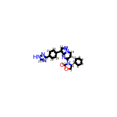 O=C1OC[C@H](c2ccccc2)N1c1ccn2ncc(-c3ccc(-c4nc[nH]n4)cc3)c2n1